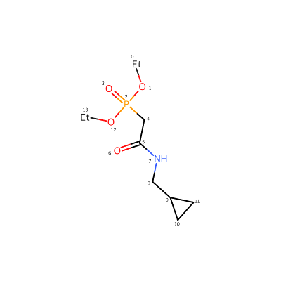 CCOP(=O)(CC(=O)NCC1CC1)OCC